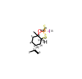 C=C(C)[C@@H]1CCC2(C)O[P@](=S)(I)S[C@H]2C1